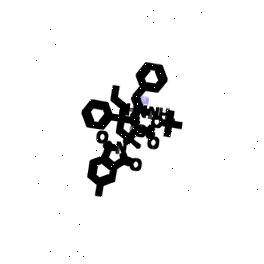 CCCC(C[C@](C)([C@H](C/C=C/c1ccccc1)C(=O)OC(C)(C)C)N1C(=O)c2ccc(C)cc2C1=O)(C(=O)NN)c1ccccc1